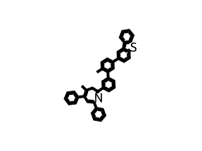 CC1=C(c2ccccc2)C=C(c2ccccc2)N=C(c2cccc(-c3cc(-c4ccc5sc6ccccc6c5c4)ccc3C)c2)C1